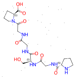 O=C(CNC(=O)[C@H](CO)NC(=O)CNC(=O)[C@@H]1CCCN1)NCC(=O)N1CCC[C@H]1C(=O)O